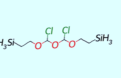 [SiH3]CCOC(Cl)OC(Cl)OCC[SiH3]